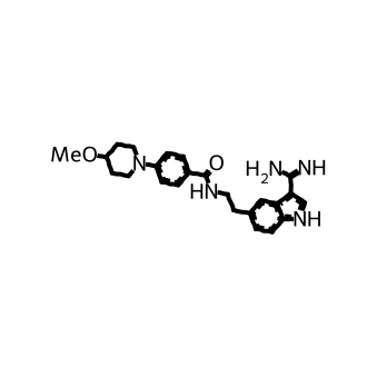 COC1CCN(c2ccc(C(=O)NCCc3ccc4[nH]cc(C(=N)N)c4c3)cc2)CC1